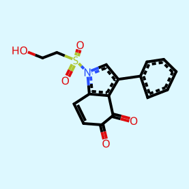 O=C1C=Cc2c(c(-c3ccccc3)cn2S(=O)(=O)CCO)C1=O